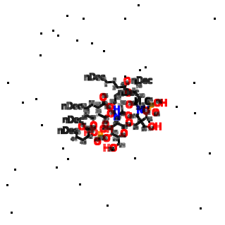 CCCCCCCCCCCCCC(=O)O[C@H](CCCCCCCCCCC)CC(=O)NCC(CO)(CO[C@@H]1OC(CO)[C@@H](OP(=O)(O)O)[C@H](OC(=O)C[C@@H](CCCCCCCCCCC)OC(=O)CCCCCCCCCCCCC)C1NC(=O)C[C@@H](CCCCCCCCCCC)OC(=O)CCCCCCCCCCCCC)COP(C)(=O)O